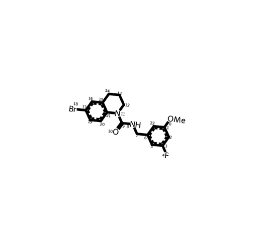 COc1cc(F)cc(CNC(=O)N2CCCc3cc(Br)ccc32)c1